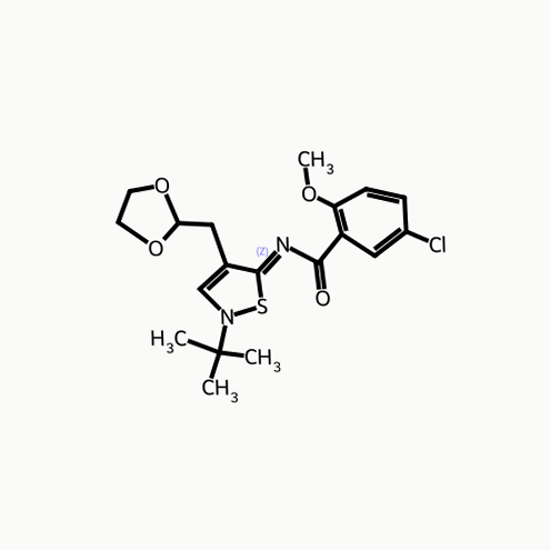 COc1ccc(Cl)cc1C(=O)/N=c1\sn(C(C)(C)C)cc1CC1OCCO1